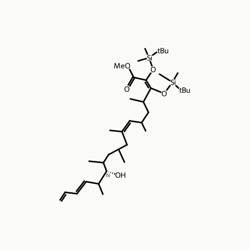 C=CC=CC(C)[C@@H](O)C(C)CC(C)CC(C)=CC(C)CC(C)C(O[Si](C)(C)C(C)(C)C)=C(O[Si](C)(C)C(C)(C)C)C(=O)OC